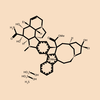 CC[C@]1(O)C[C@H]2C[N@](CCc3c([nH]c4ccccc34)[C@@](C(=O)OC)(c3cc4c(cc3OC)N(C)[C@H]3[C@@](O)(C(N)=O)[C@H](O)[C@]5(CC)C=CCN6CC[C@]43[C@@H]65)C2)C1.O=S(=O)(O)O.O=S(=O)(O)O.S